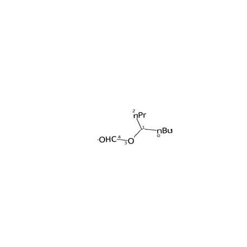 CCCCC(CCC)O[C]=O